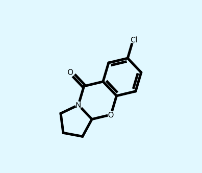 O=C1c2cc(Cl)ccc2OC2CCCN12